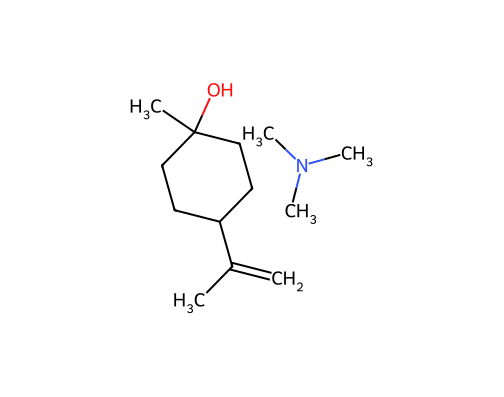 C=C(C)C1CCC(C)(O)CC1.CN(C)C